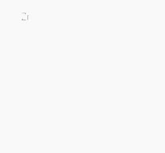 CC1=C(c2ccccc2-c2ccccc2)CC=C1.[Zr]